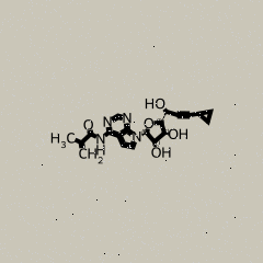 C=C(C)C(=O)Nc1ncnc2c1ccn2[C@@H]1O[C@H](C(O)C#CC2CC2)[C@@H](O)[C@H]1O